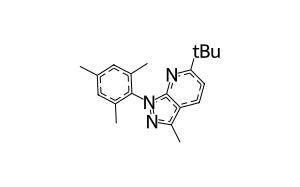 Cc1cc(C)c(-n2nc(C)c3ccc(C(C)(C)C)nc32)c(C)c1